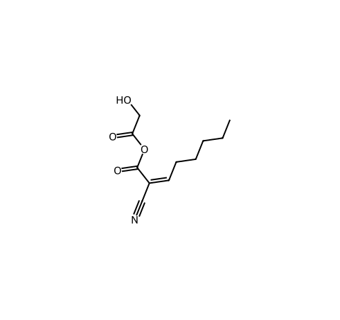 CCCCCC=C(C#N)C(=O)OC(=O)CO